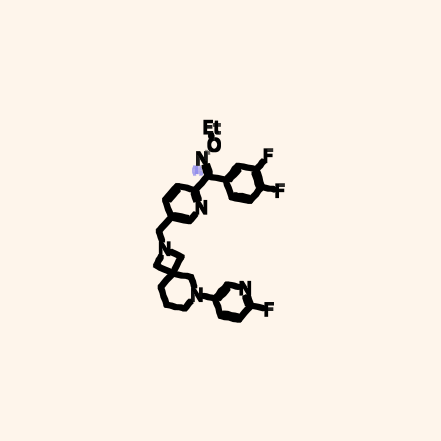 CCO/N=C(\c1ccc(F)c(F)c1)c1ccc(CN2CC3(CCCN(c4ccc(F)nc4)C3)C2)cn1